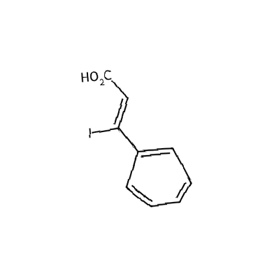 O=C(O)C=C(I)c1ccccc1